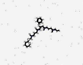 CC/C=C(\C)CC/C=C(\C)CC(/C=C(\C)CC/C=C(\C)COC1CCCCO1)Sc1ccccc1